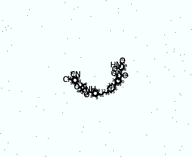 CC1(C)C(NC(=O)c2ccc(CCCN3CCN(c4ccc5c(c4)C(=O)N(C4CCC(=O)NC4=O)C5=O)CC3)cc2)C(C)(C)C1Oc1ccc(C#N)c(Cl)c1